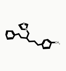 Cc1ccc(CCCC(CCc2ccccc2)Cn2ccnc2)cc1